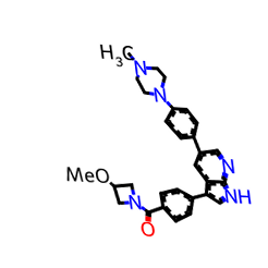 COC1CN(C(=O)c2ccc(-c3c[nH]c4ncc(-c5ccc(N6CCN(C)CC6)cc5)cc34)cc2)C1